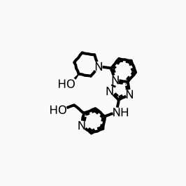 OCc1cc(Nc2nc3cccc(N4CCC[C@H](O)C4)n3n2)ccn1